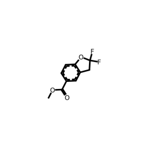 COC(=O)c1ccc2c(c1)CC(F)(F)O2